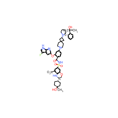 CC1(O)CCC([C@H]2COc3cc(S(=O)(=O)NC(=O)c4ccc(N5CCC6(CC5)CC(N5CCC[C@@H]5c5ccccc5C(C)(C)O)C6)cc4Oc4cnc5[nH]cc(F)c5c4)cc([N+](=O)[O-])c3N2)CC1